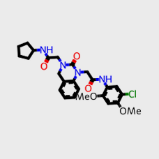 COc1cc(OC)c(NC(=O)CN2C(=O)N(CC(=O)NC3CCCC3)Cc3ccccc32)cc1Cl